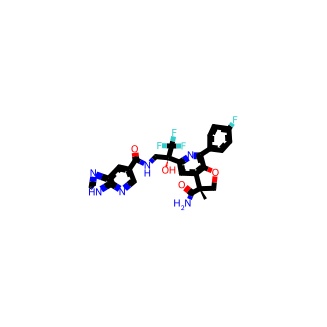 C[C@]1(C(N)=O)COc2c1cc([C@@](O)(CNC(=O)c1cnc3[nH]cnc3c1)C(F)(F)F)nc2-c1ccc(F)cc1